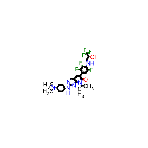 CC(C)n1c(=O)c(-c2cc(F)c(NC[C@H](O)C(F)(F)F)c(F)c2F)cc2cnc(N[C@H]3CC[C@H](N(C)C)CC3)nc21